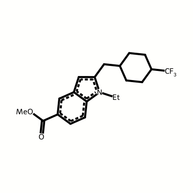 CCn1c(CC2CCC(C(F)(F)F)CC2)cc2cc(C(=O)OC)ccc21